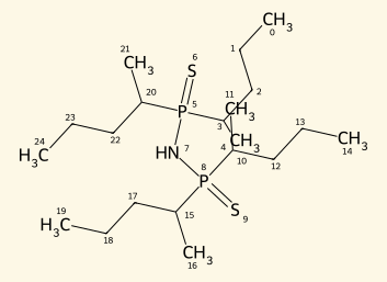 CCCC(C)P(=S)(NP(=S)(C(C)CCC)C(C)CCC)C(C)CCC